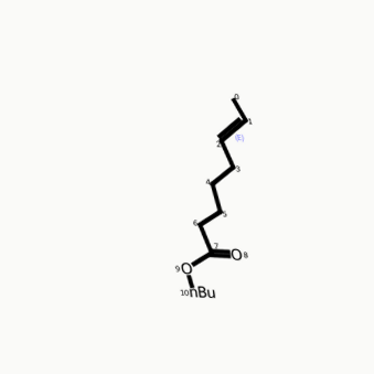 C/C=C/CCCCC(=O)OCCCC